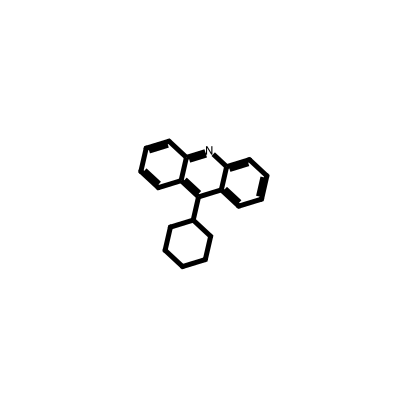 c1ccc2c(C3CCCCC3)c3ccccc3nc2c1